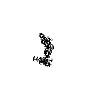 C=C(C)c1cc(C(=O)N(C)Cc2ccc(CN[C@H](C(=O)O)c3ccccc3)cc2)c(OCc2ccccc2)cc1OCc1ccccc1